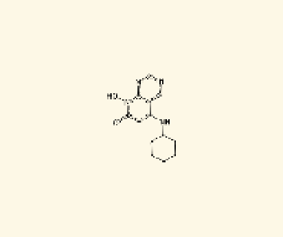 O=c1cc(NC2CCCCC2)c2cncnc2n1O